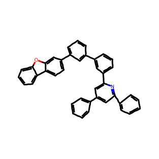 c1ccc(-c2cc(-c3ccccc3)nc(-c3cccc(-c4cccc(-c5ccc6c(c5)oc5ccccc56)c4)c3)c2)cc1